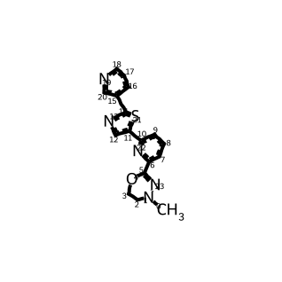 CN1CCOC(c2cccc(-c3cnc(-c4cccnc4)s3)n2)=N1